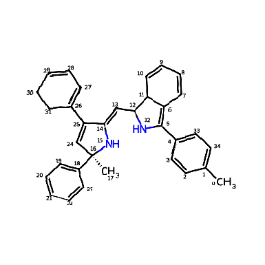 Cc1ccc(C2=C3C=CC=CC3C(/C=C3\N[C@@](C)(c4ccccc4)C=C3C3=CC=CCC3)N2)cc1